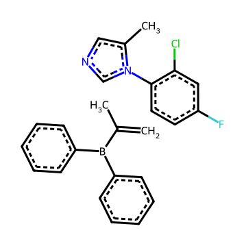 C=C(C)B(c1ccccc1)c1ccccc1.Cc1cncn1-c1ccc(F)cc1Cl